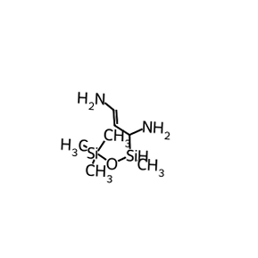 C[SiH](O[Si](C)(C)C)C(N)C=CN